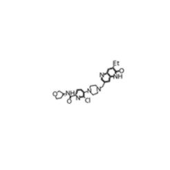 CCc1cc2ncc(CN3CCN(c4ccc(C(=O)N[C@@H]5CCOC5)nc4Cl)CC3)cc2[nH]c1=O